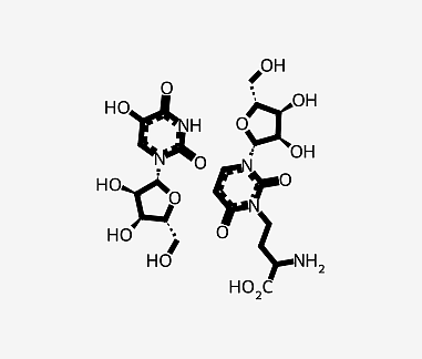 NC(CCn1c(=O)ccn([C@@H]2O[C@H](CO)[C@@H](O)[C@H]2O)c1=O)C(=O)O.O=c1[nH]c(=O)n([C@@H]2O[C@H](CO)[C@@H](O)[C@H]2O)cc1O